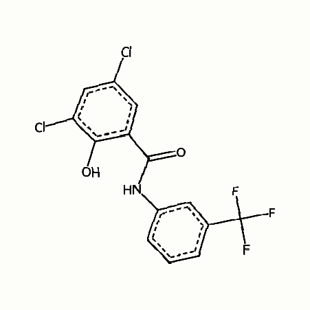 O=C(Nc1cccc(C(F)(F)F)c1)c1cc(Cl)cc(Cl)c1O